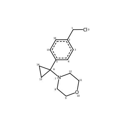 ClCc1ccc(C2(N3CCOCC3)CC2)cc1